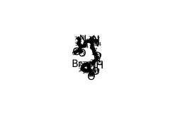 COC(=O)c1cc(C)nc(-c2cnn(C)c2CCCO[C@@H](C)CNc2cc(Br)ccc2[N+](=O)[O-])c1